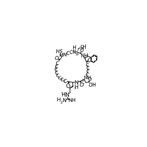 N=C(N)NCCCC1NC(=O)[C@H](CC(=O)O)NCCCCC(=O)C(Cc2ccccc2)NC(=O)[C@H](CS)NCCNC(CS)C(=O)CCCCCCCCC1=O